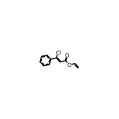 C=COC(=O)/C=C(\Cl)c1ccccc1